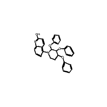 Oc1ccc2c(N3CCC(Oc4ccccc4)C(Oc4ccccc4)C3Oc3ccccc3)cccc2n1